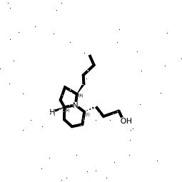 CCCC[C@@H]1CC[C@H]2CCC[C@@H](CCCO)N12